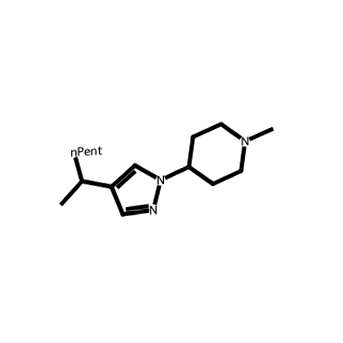 CCCCCC(C)c1cnn(C2CCN(C)CC2)c1